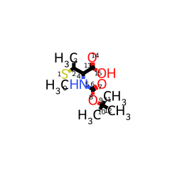 CSC(C)C(NC(=O)OC(C)(C)C)C(=O)O